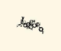 C[C@H]1C[C@@H]2[C@H]([C@@H](O)C[C@@]3(C)[C@H]2CC[C@]3(OC(=O)C2CC2)C(=O)SCF)[C@@]2(C)Cc3cnn(-c4ccc(F)cc4)c3C=C12